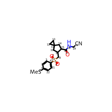 CSc1ccc(S(=O)(=O)CC2CC3(CC3)CC2C(=O)NCC#N)cc1